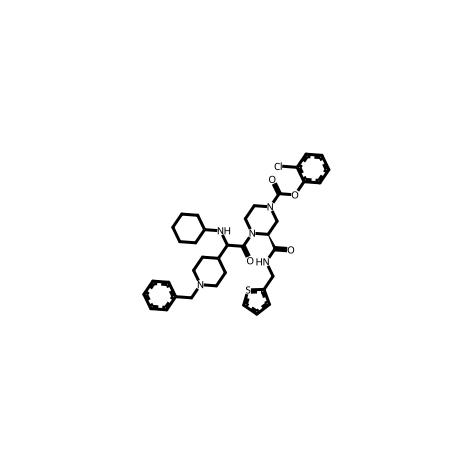 O=C(NCc1cccs1)[C@@H]1CN(C(=O)Oc2ccccc2Cl)CCN1C(=O)C(NC1CCCCC1)C1CCN(Cc2ccccc2)CC1